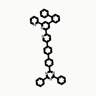 c1ccc(-c2nc(-c3ccccc3)nc(-c3ccc(-c4ccc(-c5ccc(-c6cc(-c7ccccc7-c7ccccc7)cc(-c7ccccn7)n6)nc5)cc4)cc3)n2)cc1